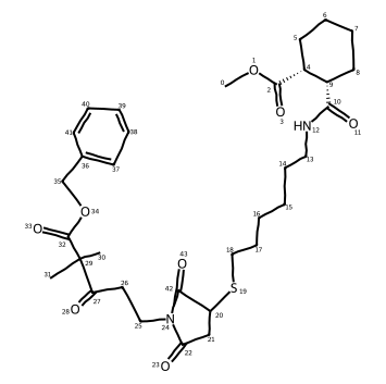 COC(=O)[C@@H]1CCCC[C@@H]1C(=O)NCCCCCCSC1CC(=O)N(CCC(=O)C(C)(C)C(=O)OCc2ccccc2)C1=O